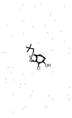 CC(C)(C)Cn1nnc2c(Cl)c(O)ccc21